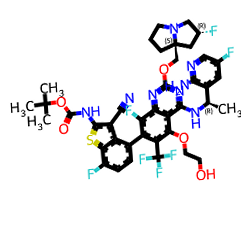 C[C@@H](Nc1nc(OC[C@@]23CCCN2C[C@H](F)C3)nc2c(F)c(-c3ccc(F)c4sc(NC(=O)OC(C)(C)C)c(C#N)c34)c(C(F)(F)F)c(OCCO)c12)c1cc(F)cnc1N